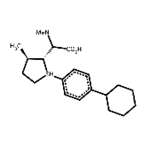 CNC(C(=O)O)[C@H]1[C@H](C)CC[SH]1c1ccc(C2CCCCC2)cc1